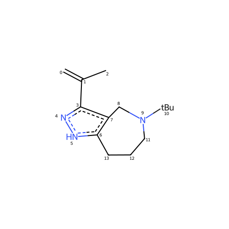 C=C(C)c1n[nH]c2c1CN(C(C)(C)C)CCC2